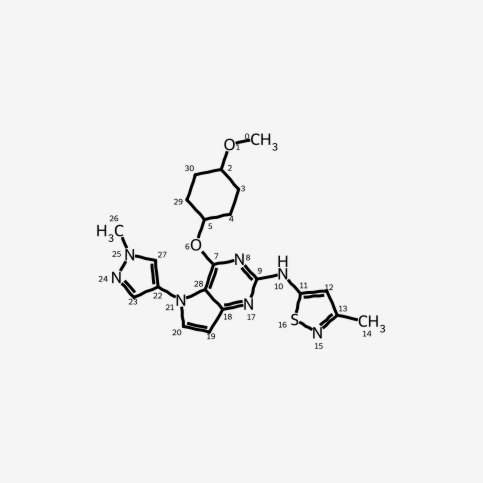 COC1CCC(Oc2nc(Nc3cc(C)ns3)nc3ccn(-c4cnn(C)c4)c23)CC1